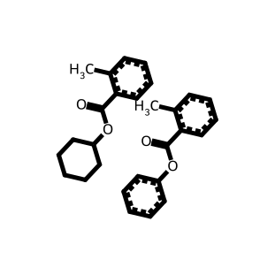 Cc1ccccc1C(=O)OC1CCCCC1.Cc1ccccc1C(=O)Oc1ccccc1